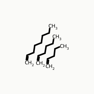 C=CCCC.C=CCCCC.C=CCCCCCC